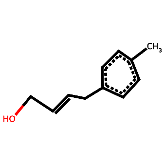 Cc1ccc(CC=CCO)cc1